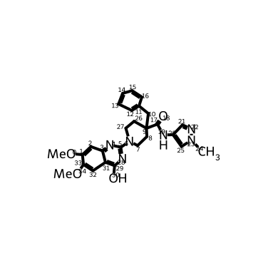 COc1cc2nc(N3CCC(Cc4ccccc4)(C(=O)Nc4cnn(C)c4)CC3)nc(O)c2cc1OC